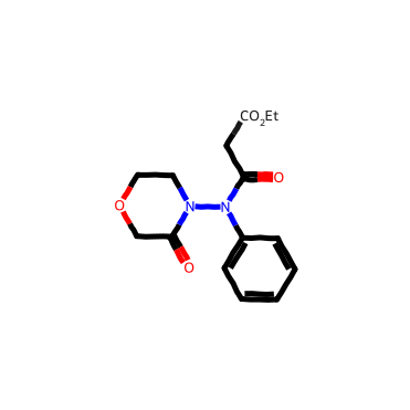 CCOC(=O)CC(=O)N(c1ccccc1)N1CCOCC1=O